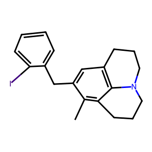 Cc1c(Cc2ccccc2I)cc2c3c1CCCN3CCC2